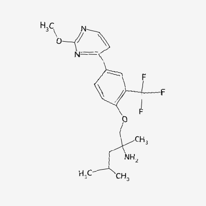 COc1nccc(-c2ccc(OCC(C)(N)CC(C)C)c(C(F)(F)F)c2)n1